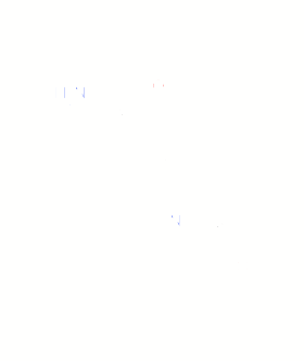 C=CCN1C(=O)CC[C@H]1CC(N)=O